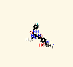 Cc1nc(C(=O)NCc2ccc(F)cc2)cc(C2=NOC(C3CCC(C(N)[C@H](C)O)CC3)C2)n1